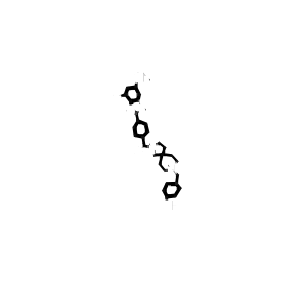 CC(C)c1cc(C#N)cc2nc(-c3ccc(C(=O)N4CCC5(CCN(Cc6ccc(C(F)(F)F)cc6)CC5)C4)cc3)oc12